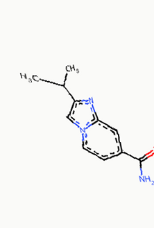 CC(C)c1cn2ccc(C(N)=O)cc2n1